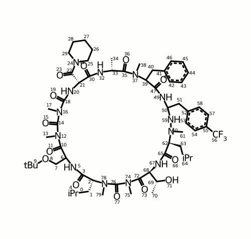 CC(C)C[C@@H]1C(=O)NC(COC(C)(C)C)C(=O)N(C)C(=O)N(C)C(=O)N[C@H](C(=O)N2CCCCC2)C(=O)N[C@H](C)C(=O)N(C)C(Cc2ccccc2)C(=O)NC(Cc2ccc(C(F)(F)F)cc2)NN(C)[C@@H](CC(C)C)C(=O)N[C@@H]([C@@H](C)O)C(=O)N(C)C(=O)N1C